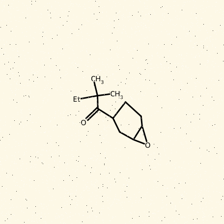 CCC(C)(C)C(=O)C1CCC2OC2C1